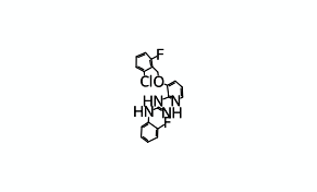 N=C(Nc1ccccc1F)Nc1ncccc1OCc1c(F)cccc1Cl